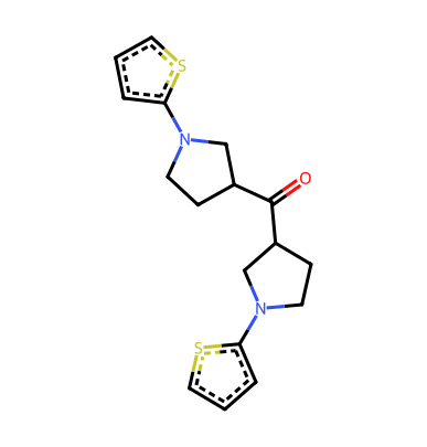 O=C(C1CCN(c2cccs2)C1)C1CCN(c2cccs2)C1